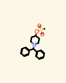 CS(=O)(=O)OC1CCN(C(c2ccccc2)c2ccccc2)CC1